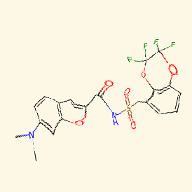 CN(C)c1ccc2cc(C(=O)NS(=O)(=O)c3cccc4c3OC(F)(F)C(F)(F)O4)oc2c1